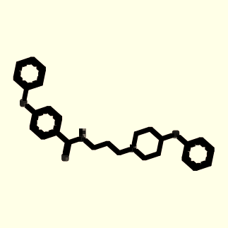 O=C(NCCCN1CCC(Oc2ccccc2)CC1)c1ccc(Oc2ccccc2)cc1